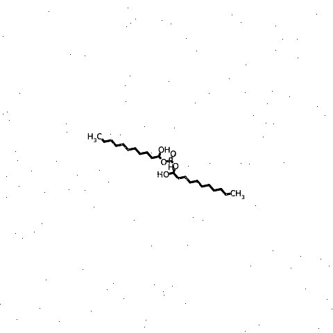 CCCCCCCCCCC(O)O[PH](=O)OC(O)CCCCCCCCCC